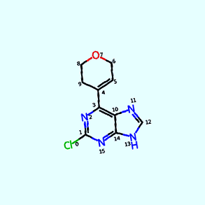 Clc1nc(C2=CCOCC2)c2nc[nH]c2n1